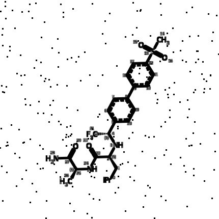 CC(C)C[C@H](N[C@@H](c1ccc(-c2ccc(S(C)(=O)=O)cc2)cc1)C(F)(F)F)C(=O)N[C@@H](C)C(N)=O